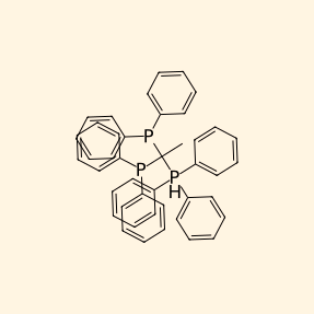 CC(P(c1ccccc1)c1ccccc1)(P(c1ccccc1)c1ccccc1)[PH](c1ccccc1)(c1ccccc1)c1ccccc1